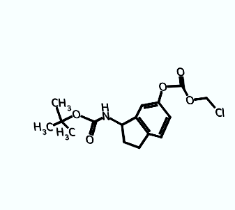 CC(C)(C)OC(=O)NC1CCc2ccc(OC(=O)OCCl)cc21